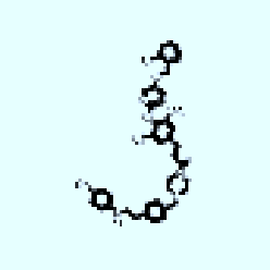 Cc1cc(C=CC(=O)N2CCN(Cc3ccc(CCNc4ccc(C(C)C)cc4)cc3)CC2)cc(Cl)c1Oc1ccc(OCc2ccccc2Cl)cn1